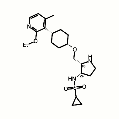 CCOc1nccc(C)c1[C@H]1CC[C@@H](OC[C@@H]2NCC[C@@H]2NS(=O)(=O)C2CC2)CC1